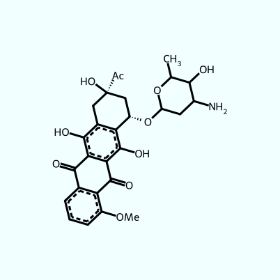 COc1cccc2c1C(=O)c1c(O)c3c(c(O)c1C2=O)C[C@](O)(C(C)=O)C[C@@H]3OC1CC(N)C(O)C(C)O1